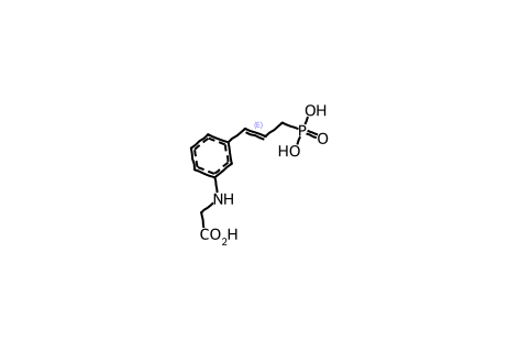 O=C(O)CNc1cccc(/C=C/CP(=O)(O)O)c1